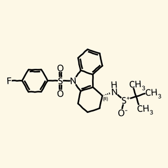 CC(C)(C)[S+]([O-])N[C@@H]1CCCc2c1c1ccccc1n2S(=O)(=O)c1ccc(F)cc1